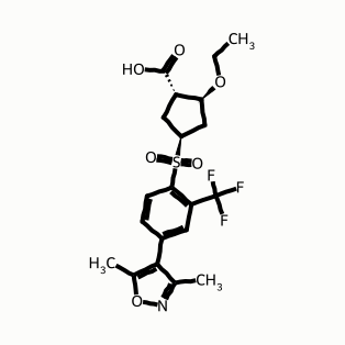 CCO[C@H]1C[C@@H](S(=O)(=O)c2ccc(-c3c(C)noc3C)cc2C(F)(F)F)C[C@@H]1C(=O)O